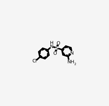 Nc1cc(S(=O)(=O)Nc2ccc(Cl)cc2)ccn1